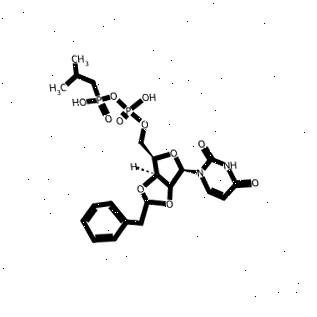 CC(C)CP(=O)(O)OP(=O)(O)OC[C@H]1O[C@@H](n2ccc(=O)[nH]c2=O)C2OC(Cc3ccccc3)O[C@H]21